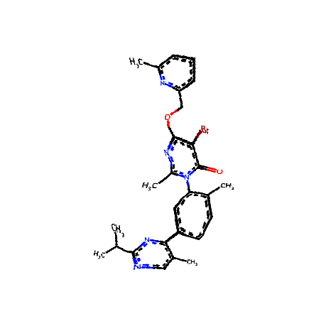 Cc1cccc(COc2nc(C)n(-c3cc(-c4nc(C(C)C)ncc4C)ccc3C)c(=O)c2Br)n1